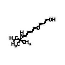 CC(C)(C)NCCCCOCCCO